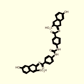 O=C(Nc1ccc(C(=O)N=C2Cc3cc(O)ccc3C=C2S(=O)(=O)O)cc1)Nc1ccc(C(=O)N=C2Cc3cc(O)ccc3C=C2S(=O)(=O)O)cc1